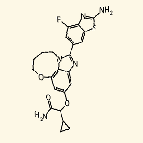 NC(=O)C(Oc1cc2c3c(c1)nc(-c1cc(F)c4nc(N)sc4c1)n3CCCCO2)C1CC1